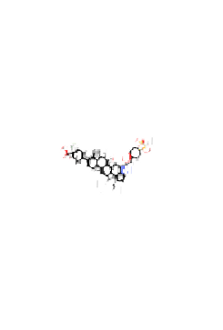 C=C(C)[C@@H]1CC[C@]2(NCCC3(O)CCC(S(C)(=O)=O)CC3)CC[C@]3(C)[C@H](CC[C@@H]4[C@@]5(C)CC=C(C6=CC[C@](CF)(C(=O)O)CC6)C(C)(C)[C@@H]5CC[C@]43C)[C@@H]12